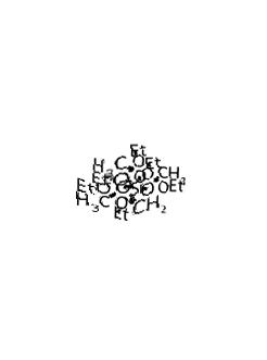 C=C[Si](OC(C)(OCC)OCC)(OC(C)(OCC)OCC)OC(C)(OCC)OCC